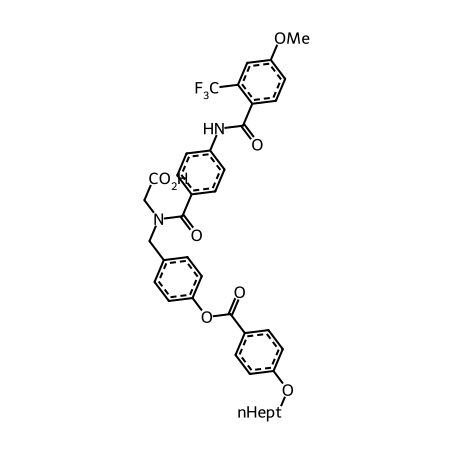 CCCCCCCOc1ccc(C(=O)Oc2ccc(CN(CC(=O)O)C(=O)c3ccc(NC(=O)c4ccc(OC)cc4C(F)(F)F)cc3)cc2)cc1